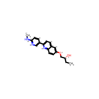 CC[C@@H](O)COc1ccc2nc(-c3ccc(NC)nc3)ccc2c1